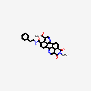 CCCCCCCCN1C(=O)c2ccc3c4ncc(C(=O)OC)c5c(C(=O)NCCc6ccccc6)ccc(c6ncc(c2c36)C1=O)c54